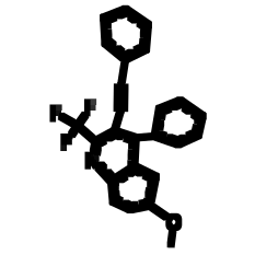 COc1ccc2nc(C(F)(F)F)c(C#Cc3ccccc3)c(-c3ccccc3)c2c1